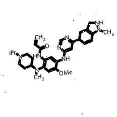 C=CC(=O)Nc1cc(Nc2cc(C3C=CC4=C(CNN4C)C3)ncn2)c(OC)cc1N(C)C1CCN(C(C)C)CC1